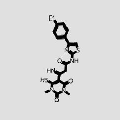 CCc1ccc(-c2csc(NC(=O)CC(=N)c3c(S)n(C)c(=O)n(C)c3=O)n2)cc1